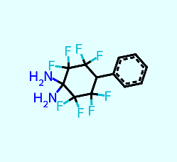 NC1(N)C(F)(F)C(F)(F)C(c2ccccc2)C(F)(F)C1(F)F